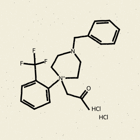 CC(=O)C[N+]1(c2ccccc2C(F)(F)F)CCN(Cc2ccccc2)CC1.Cl.Cl